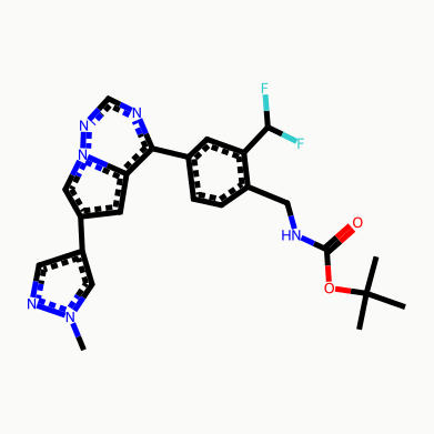 Cn1cc(-c2cc3c(-c4ccc(CNC(=O)OC(C)(C)C)c(C(F)F)c4)ncnn3c2)cn1